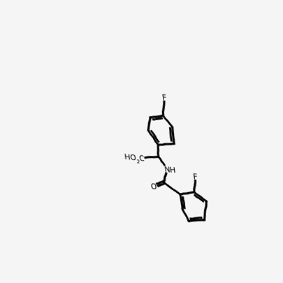 O=C(NC(C(=O)O)c1ccc(F)cc1)c1ccccc1F